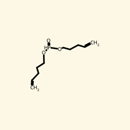 C=CCCCO[PH](=O)OCCCC=C